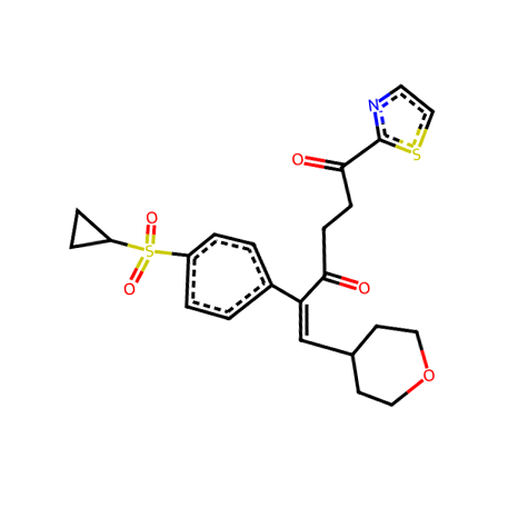 O=C(CCC(=O)c1nccs1)C(=CC1CCOCC1)c1ccc(S(=O)(=O)C2CC2)cc1